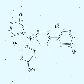 COc1ccc2c(c1)c1cc(-c3cc(C#N)ccc3C#N)ccc1n2-c1cc(C#N)ccc1C#N